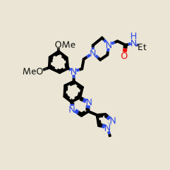 CCNC(=O)CN1CCN(CCN(c2cc(OC)cc(OC)c2)c2ccc3ncc(-c4cnn(C)c4)nc3c2)CC1